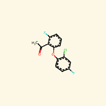 CC(=O)c1c(F)cccc1Oc1ccc(F)cc1Cl